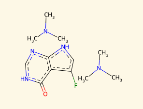 CN(C)C.CN(C)C.O=c1[nH]cnc2[nH]cc(F)c12